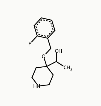 CC(O)C1(OCc2ccccc2F)CCNCC1